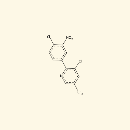 O=[N+]([O-])c1cc(-c2ncc(C(F)(F)F)cc2Cl)ccc1Cl